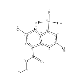 CCOC(=O)c1cc(Cl)nc2c(C(F)(F)F)cc(Cl)cc12